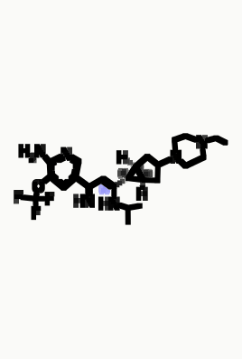 CCN1CCN(C2C[C@@H]3[C@H](C2)[C@H]3/C(=C/C(=N)c2cnc(N)c(OC(F)(F)F)c2)NC(C)C)CC1